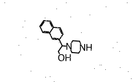 OCC(c1ccc2ccccc2c1)N1CCNCC1